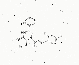 CC(C)C[C@H]1C(=O)N[C@@H](c2ccccc2F)CN1C(=O)/C=C/c1ccc(F)cc1F